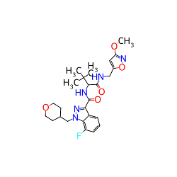 COc1cc(CNC(=O)C(NC(=O)c2nn(CC3CCOCC3)c3c(F)cccc23)C(C)(C)C)on1